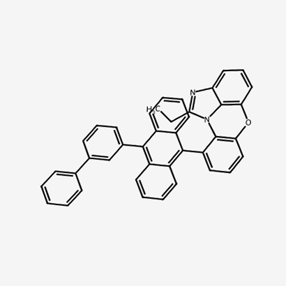 CCc1nc2cccc3c2n1-c1c(cccc1-c1c2ccccc2c(-c2cccc(-c4ccccc4)c2)c2ccccc12)O3